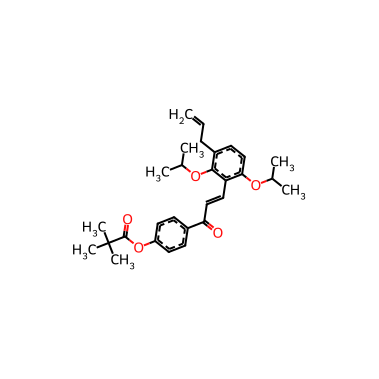 C=CCc1ccc(OC(C)C)c(C=CC(=O)c2ccc(OC(=O)C(C)(C)C)cc2)c1OC(C)C